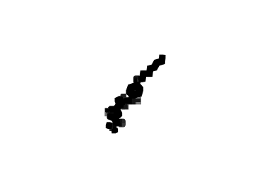 CCCCCCCCOc1ccc(Nc2nc(-c3cncc(C(=O)N(C)C)c3)cs2)cc1